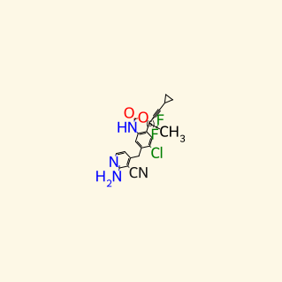 CC(F)(F)[C@@]1(C#CC2CC2)OC(=O)Nc2cc(Cc3ccnc(N)c3C#N)c(Cl)cc21